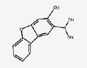 OB(O)c1cc2c(cc1O)oc1ccccc12